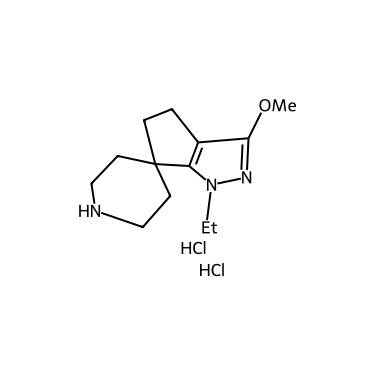 CCn1nc(OC)c2c1C1(CCNCC1)CC2.Cl.Cl